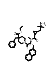 CCOC(=O)C1(Cc2ccccc2)CCN(C(=O)[C@@H](Cc2ccc3ccccc3c2)N(C)C(=O)C2CC2CC(C)(C)N)CC1